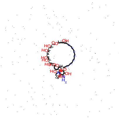 C[C@@H]1[C@H](O)[C@@H](C)/C=C/C=C/C=C/C=C/C=C/C=C/C=C/[C@H](O[C@@H]2O[C@H](C)[C@@H](O)[C@H](N)[C@@H]2O)C[C@@H]2O[C@](O)(C[C@@H](O)C[C@@H](O)[C@H](O)CC[C@@H](O)C[C@@H](O)CC(=O)O[C@H]1C)C[C@H](O)[C@H]2C(=O)N1CC[Si](C)(C)CC1